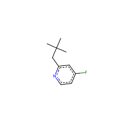 CC(C)(C)Cc1cc(F)ccn1